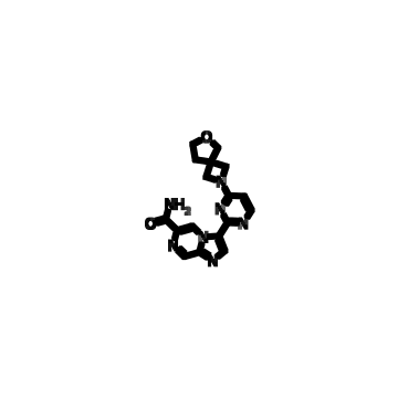 NC(=O)c1cn2c(-c3nccc(N4CC5(CCOC5)C4)n3)cnc2cn1